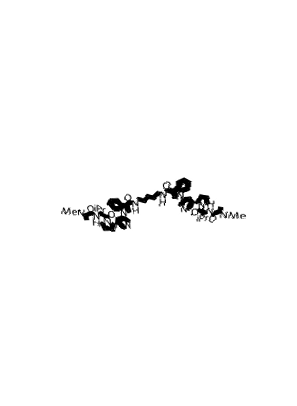 CN[C@@H](C)C(=O)N[C@H](C(=O)N1CCC[C@H]1c1cncc(-n2cc(C(=O)NCCCCCNC(=O)c3cn(-c4cncc([C@@H]5CCCN5C(=O)[C@@H](NC(=O)[C@H](C)NC)C(C)C)c4)c4ccccc34)c3ccccc32)c1)C(C)C